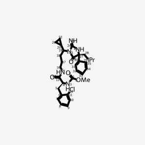 COC(=O)N[C@@H](Cc1ccccc1Cl)C(=O)NCCCC(C1CC1)N1C(=N)N[C@](CC(C)C)(c2ccccc2)C1=O